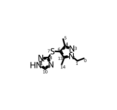 CCn1nc(C)c(Sc2nc[nH]n2)c1C